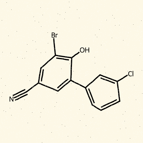 N#Cc1cc(Br)c(O)c(-c2cccc(Cl)c2)c1